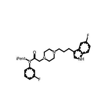 CCCC(C)N(C(=O)CN1CCN(CCCc2c[nH]c3ccc(F)cc23)CC1)c1cccc(F)c1